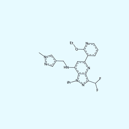 CCOc1ncccc1-c1cc(NCc2cnn(C)c2)c2c(n1)c(C(F)F)nn2C(C)C